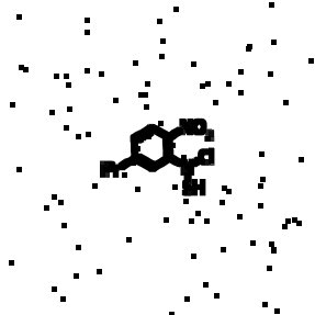 CC(C)c1ccc([N+](=O)[O-])c(N(S)Cl)c1